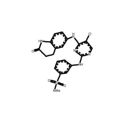 CNS(=O)(=O)c1cccc(Nc2ncc(Cl)c(Nc3ccc4c(c3)CCC(=O)N4)n2)c1